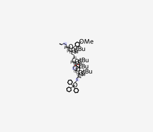 C=C/C=C\[C@H](C)[C@H](OCc1ccc(OC)cc1)[C@@H](C)[C@H](CC[C@H](C)C[C@@H](C)[C@@H](O[Si](C)(C)C(C)(C)C)[C@@H](C)/C=C\[C@H](C[C@H](O[Si](C)(C)C(C)(C)C)[C@@H](C)/C=C/COC(c1ccccc1)(c1ccccc1)c1ccccc1)O[Si](C)(C)C(C)(C)C)O[Si](C)(C)C(C)(C)C